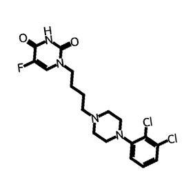 O=c1[nH]c(=O)n(CCCCN2CCN(c3cccc(Cl)c3Cl)CC2)cc1F